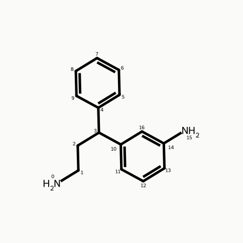 NCCC(c1ccccc1)c1cccc(N)c1